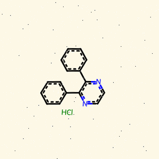 Cl.c1ccc(-c2nccnc2-c2ccccc2)cc1